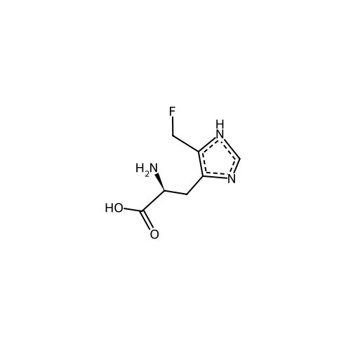 N[C@@H](Cc1nc[nH]c1CF)C(=O)O